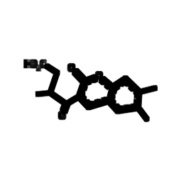 Cc1cc2cc(C(=O)C(C)CC(=O)O)c(=O)oc2cc1C